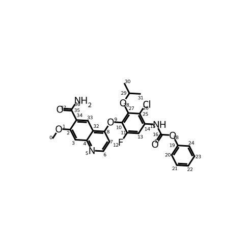 COc1cc2nccc(Oc3c(F)cc(NC(=O)Oc4ccccc4)c(Cl)c3OC(C)C)c2cc1C(N)=O